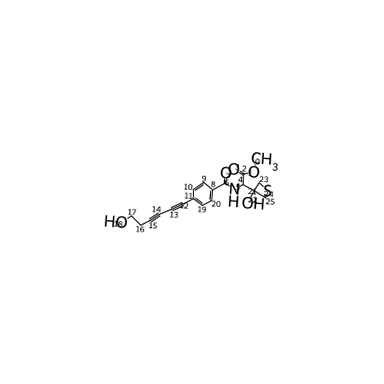 COC(=O)C(NC(=O)c1ccc(C#CC#CCCO)cc1)C1(O)CSC1